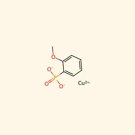 COc1ccccc1P(=O)([O-])[O-].[Cu+2]